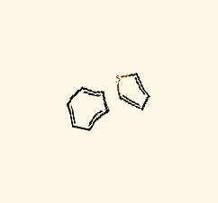 c1ccccc1.c1ccsc1